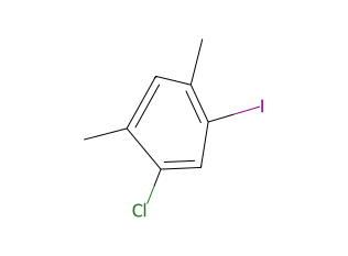 Cc1cc(C)c(I)cc1Cl